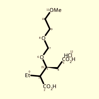 CCC(C(=O)O)[C@H](CC(=O)O)OCOCCOC.Cl